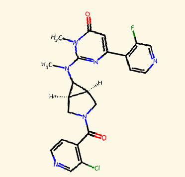 CN(c1nc(-c2ccncc2F)cc(=O)n1C)C1[C@H]2CN(C(=O)c3ccncc3Cl)C[C@@H]12